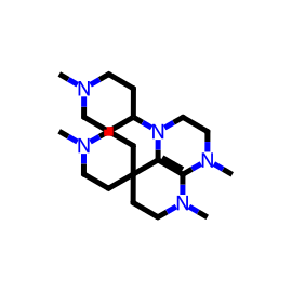 CN1CCC(N2CCN(C)C3=C2C2(CCN(C)CC2)CCN3C)CC1